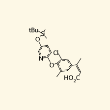 C/C(=C/C(=O)O)c1cc(C)c(Oc2ccc(O[Si](C)(C)C(C)(C)C)cn2)c(Cl)c1